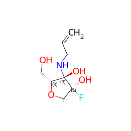 C=CCN[C@@]1(O)[C@@H](CO)O[CH][C@]1(O)F